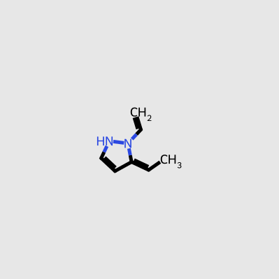 C=CN1NC=C/C1=C/C